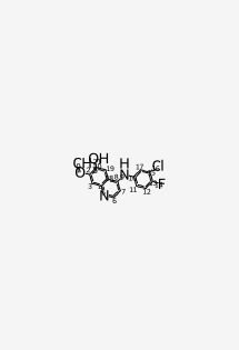 COc1cc2nccc(Nc3ccc(F)c(Cl)c3)c2cc1O